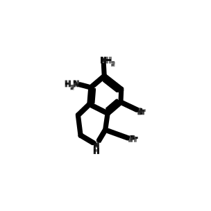 CC(C)C1NCCc2c(N)c(N)cc(Br)c21